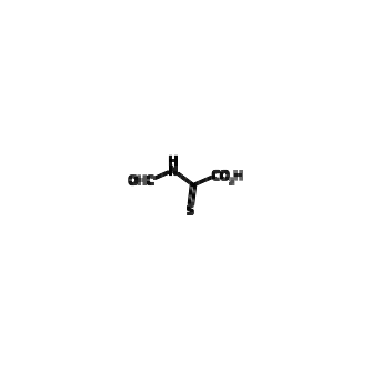 O=CNC(=S)C(=O)O